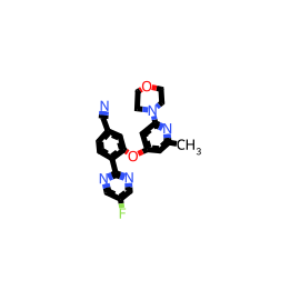 Cc1cc(Oc2cc(C#N)ccc2-c2ncc(F)cn2)cc(N2CCOCC2)n1